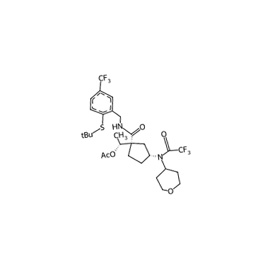 CC(=O)O[C@H](C)[C@]1(C(=O)NCc2cc(C(F)(F)F)ccc2SC(C)(C)C)CC[C@@H](N(C(=O)C(F)(F)F)C2CCOCC2)C1